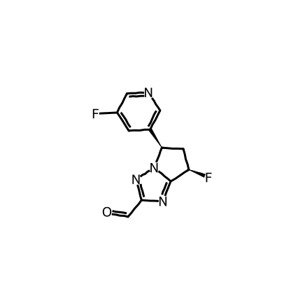 O=Cc1nc2n(n1)[C@@H](c1cncc(F)c1)C[C@H]2F